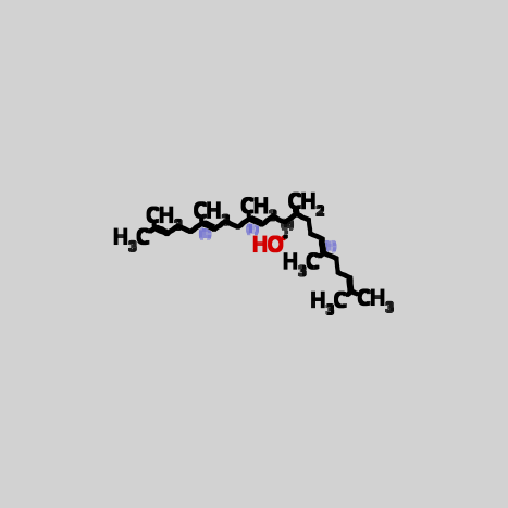 C=C(CC/C=C(\C)CCC=C(C)C)[C@H](CO)C/C=C(\C)CC/C=C(\C)CCC=C(C)C